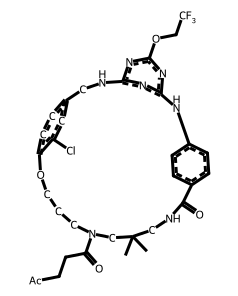 CC(=O)CCC(=O)N1CCCOc2ccc(cc2Cl)CNc2nc(nc(OCC(F)(F)F)n2)Nc2ccc(cc2)C(=O)NCC(C)(C)C1